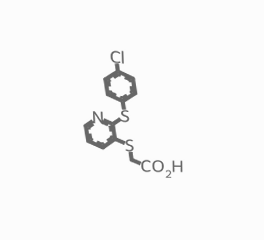 O=C(O)CSc1cccnc1Sc1ccc(Cl)cc1